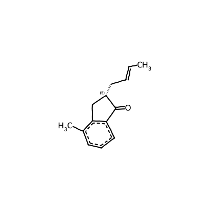 CC=CC[C@H]1Cc2c(C)cccc2C1=O